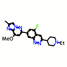 CCN1CCC(c2cc3c(F)cc(-c4cc(OC)c5nc(C)cn5n4)cc3nn2)CC1